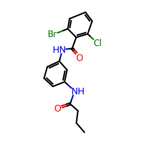 CCCC(=O)Nc1cccc(NC(=O)c2c(Cl)cccc2Br)c1